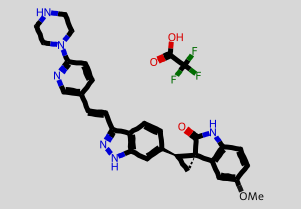 COc1ccc2c(c1)[C@]1(C[C@H]1c1ccc3c(/C=C/c4ccc(N5CCNCC5)nc4)n[nH]c3c1)C(=O)N2.O=C(O)C(F)(F)F